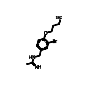 CC(=N)NCc1ccc(OCCC[18F])c(Br)c1